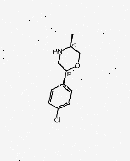 C[C@H]1CO[C@@H](c2ccc(Cl)cc2)CN1